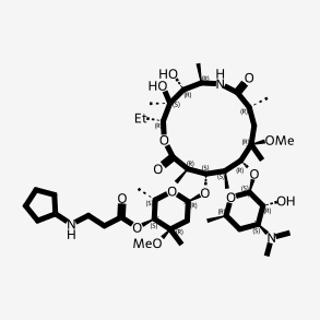 CC[C@H]1OC(=O)[C@H](C)[C@@H](O[C@H]2C[C@@](C)(OC)[C@@H](OC(=O)CCNC3CCCC3)[C@H](C)O2)[C@H](C)[C@@H](O[C@@H]2O[C@H](C)C[C@H](N(C)C)[C@H]2O)[C@](C)(OC)C[C@@H](C)C(=O)N[C@H](C)[C@@H](O)[C@]1(C)O